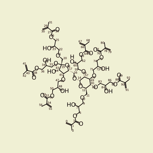 C=C(C)C(=O)OCC(O)COC[C@H]1O[C@H](OC[C@H]2O[C@@](COCC(O)COC(=O)C(=C)C)(OCC(O)COC(=O)C(=C)C)[C@@H](O)[C@@H]2OCC(O)COC(=O)C(=C)C)[C@H](OCC(O)COC(=O)C(=C)C)[C@@H](OCC(O)COC(=O)C(=C)C)[C@@H]1OCC(O)COC(=O)C(=C)C